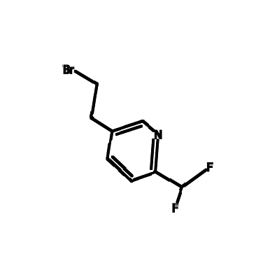 FC(F)c1ccc(CCBr)cn1